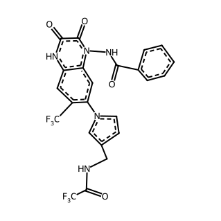 O=C(Nn1c(=O)c(=O)[nH]c2cc(C(F)(F)F)c(-n3ccc(CNC(=O)C(F)(F)F)c3)cc21)c1ccccc1